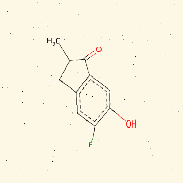 CC1Cc2cc(F)c(O)cc2C1=O